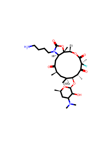 CC[C@H]1OC(=O)[C@@](C)(F)C(=O)[C@H](C)[C@@H](O[C@@H]2O[C@H](C)CC(N(C)C)C2O)[C@](C)(OC)C[C@@H](C)C(=O)C[C@H]2N(CCCCN)C(=O)O[C@]12C